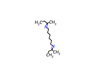 CCC(C)=NCCCCCCN=C(C)CC